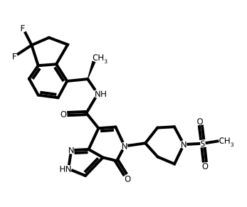 C[C@@H](NC(=O)c1cn(C2CCN(S(C)(=O)=O)CC2)c(=O)c2c[nH]nc12)c1cccc2c1CCC2(F)F